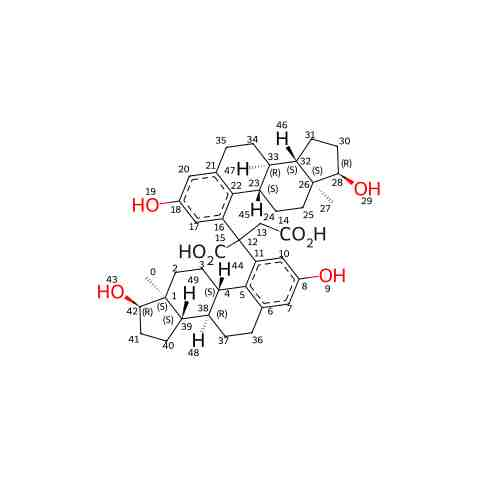 C[C@]12CC[C@@H]3c4c(cc(O)cc4C(CC(=O)O)(C(=O)O)c4cc(O)cc5c4[C@H]4CC[C@]6(C)[C@H](O)CC[C@H]6[C@@H]4CC5)CC[C@H]3[C@@H]1CC[C@H]2O